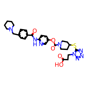 O=C(O)CCn1nnnc1SC1CCN(C(=O)Oc2ccc(NC(=O)c3ccc(CN4CCCCC4)cc3)nc2)CC1